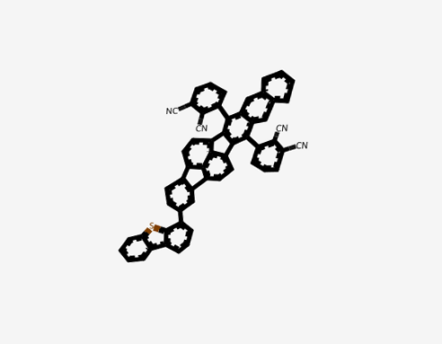 N#Cc1cccc(-c2c3c(c(-c4cccc(C#N)c4C#N)c4cc5ccccc5cc24)-c2ccc4c5c(ccc-3c25)-c2ccc(-c3cccc5c3sc3ccccc35)cc2-4)c1C#N